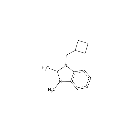 CC1N(C)c2ccccc2N1CC1CCC1